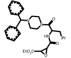 CCOC(=O)C1OC1C(=O)NC(CC(C)C)C(=O)N1CCN(C(c2ccccc2)c2ccccc2)CC1